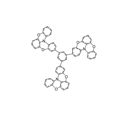 c1ccc2c(c1)Oc1cccc3c1N2c1ccc(-c2cc(-c4ccc5c(c4)Oc4cccc6c4N5c4ccccc4O6)cc(-c4ccc5c(c4)Oc4cccc6c4N5c4ccccc4O6)c2)cc1O3